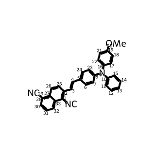 [C-]#[N+]c1c(C=Cc2ccc(N(c3ccccc3)c3ccc(OC)cc3)cc2)ccc2c(C#N)cccc12